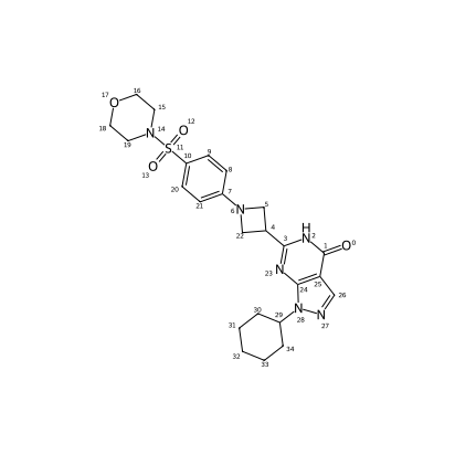 O=c1[nH]c(C2CN(c3ccc(S(=O)(=O)N4CCOCC4)cc3)C2)nc2c1cnn2C1CCCCC1